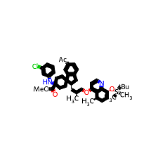 COC(=O)C1(Nc2cccc(Cl)c2)CCC2(CC1)c1cc(C(C)=O)ccc1C[C@@H]2C[C@@H](C)COc1ccnc2c1[C@H](C)CC[C@H]2O[Si](C)(C)C(C)(C)C